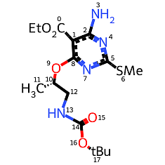 CCOC(=O)c1c(N)nc(SC)nc1O[C@@H](C)CNC(=O)OC(C)(C)C